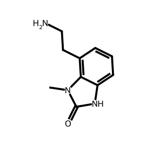 Cn1c(=O)[nH]c2cccc(CCN)c21